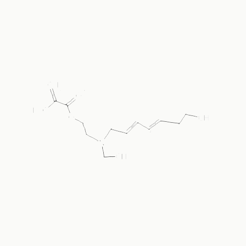 C=C(C)C(=O)OCCN(CC)CC=CC=CCCC